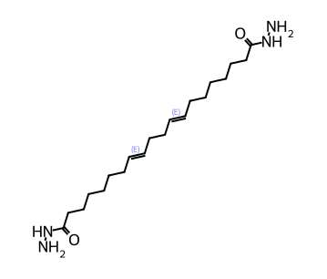 NNC(=O)CCCCCC/C=C/CC/C=C/CCCCCCC(=O)NN